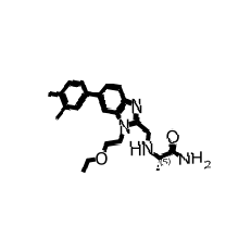 CCOCCn1c(CN[C@@H](C)C(N)=O)nc2ccc(-c3ccc(C)c(C)c3)cc21